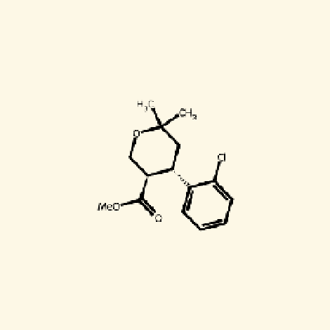 COC(=O)[C@H]1COC(C)(C)C[C@@H]1c1ccccc1Cl